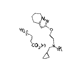 CCCN(CCOc1cc2n(n1)CCCC2)CC1CC1.O=C(O)C=CC(=O)O